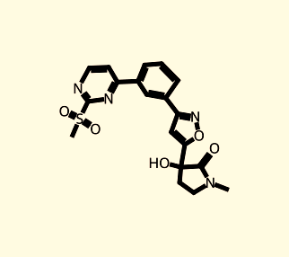 CN1CCC(O)(c2cc(-c3cccc(-c4ccnc(S(C)(=O)=O)n4)c3)no2)C1=O